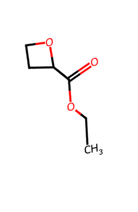 CCOC(=O)C1CCO1